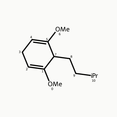 COC1=CCC=C(OC)C1CCC(C)C